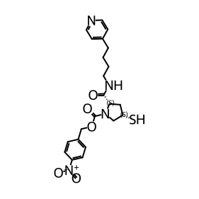 O=C(NCCCCc1ccncc1)[C@@H]1C[C@H](S)CN1C(=O)OCc1ccc([N+](=O)[O-])cc1